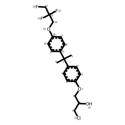 CC(C)(c1ccc(OCC(O)CCl)cc1)c1ccc(OCC(F)(F)CF)cc1